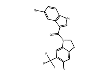 COc1cc2c(cc1C(F)(F)F)N(C(=O)c1c[nH]c3ccc(Br)cc13)CC2